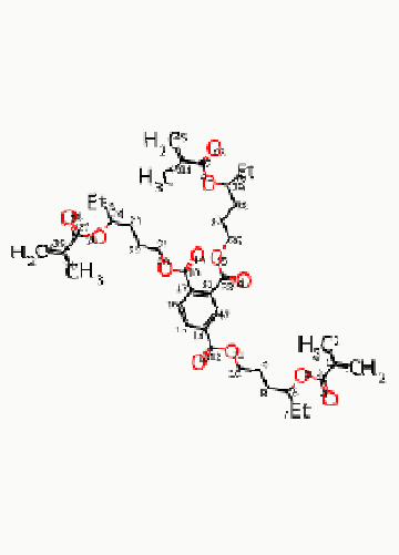 C=C(C)C(=O)OC(CC)CCCOC(=O)c1ccc(C(=O)OCCCC(CC)OC(=O)C(=C)C)c(C(=O)OCCCC(CC)OC(=O)C(=C)C)c1